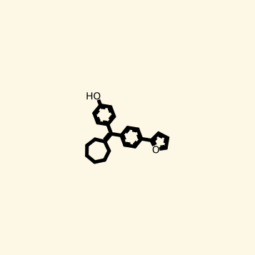 Oc1ccc(C(=C2CCCCCC2)c2ccc(-c3ccco3)cc2)cc1